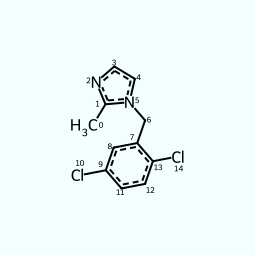 Cc1nccn1Cc1cc(Cl)ccc1Cl